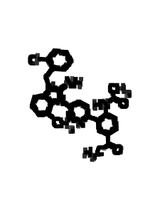 CC(=O)Nc1ccc(C(C)=O)cc1-c1ccc(-n2c(=N)n(Cc3ccccc3Cl)c3cccc(C)c32)nn1